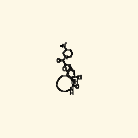 CN(C)C1CCCN(C(=O)c2cc3cc(Cl)c4c(c3o2)CCCCCCCNC(=O)N4)C1